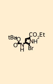 CCOC(=O)c1cc(NC(=O)OC(C)(C)C)c(Br)[nH]1